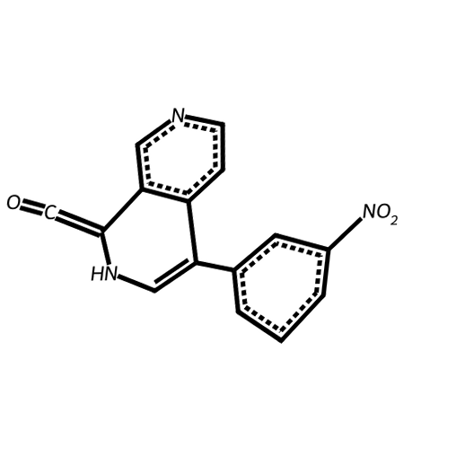 O=C=C1NC=C(c2cccc([N+](=O)[O-])c2)c2ccncc21